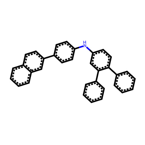 c1ccc(-c2ccc(Nc3ccc(-c4ccc5ccccc5c4)cc3)cc2-c2ccccc2)cc1